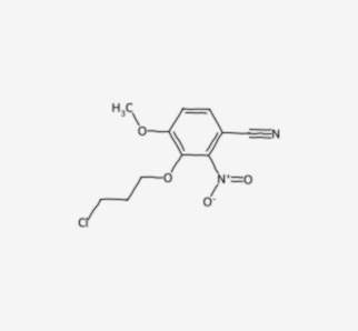 COc1ccc(C#N)c([N+](=O)[O-])c1OCCCCl